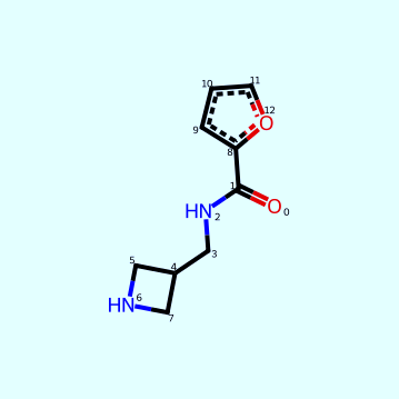 O=C(NCC1CNC1)c1ccco1